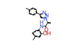 C=C(C(=O)Nc1ccc(C)cc1O)n1cc(-c2ccc(C)cc2)nn1